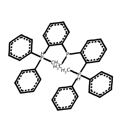 CP(c1ccccc1[PH](C)(c1ccccc1)c1ccccc1)c1ccccc1[PH](C)(c1ccccc1)c1ccccc1